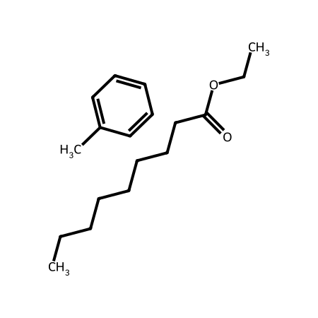 CCCCCCCCC(=O)OCC.Cc1ccccc1